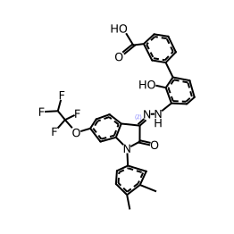 Cc1ccc(N2C(=O)/C(=N\Nc3cccc(-c4cccc(C(=O)O)c4)c3O)c3ccc(OC(F)(F)C(F)F)cc32)cc1C